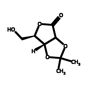 CC1(C)OC2C(=O)O[C@H](CO)[C@H]2O1